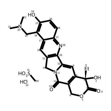 CC[C@@]1(O)C(=O)OCc2c1cc1n(c2=O)Cc2cc3c(CN(C)C)c(O)ccc3nc2-1.CS(=O)(=O)O.Cl